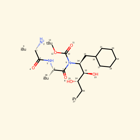 CC[C@H](C)[C@H](N)C(=O)N[C@H](C(=O)N(C(=O)OC(C)(C)C)[C@@H](CC1CCCCC1)[C@@H](O)[C@@H](O)CC(C)C)[C@@H](C)CC